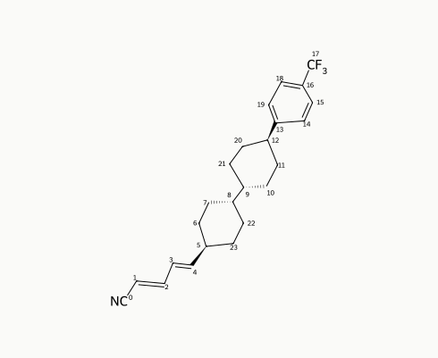 N#CC=CC=C[C@H]1CC[C@H]([C@H]2CC[C@H](c3ccc(C(F)(F)F)cc3)CC2)CC1